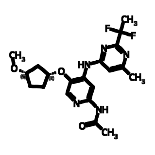 CO[C@H]1CC[C@@H](Oc2cnc(NC(C)=O)cc2Nc2cc(C)nc(C(C)(F)F)n2)C1